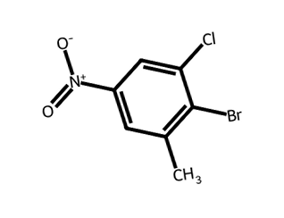 Cc1cc([N+](=O)[O-])cc(Cl)c1Br